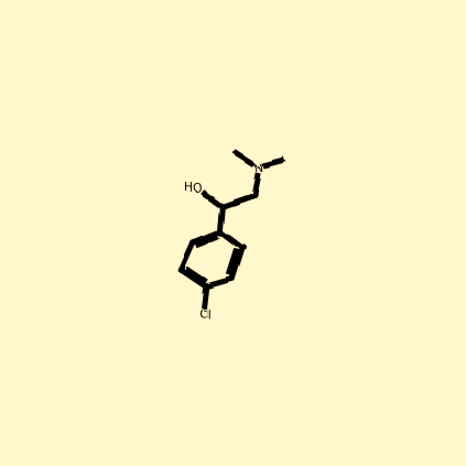 CN(C)CC(O)c1ccc(Cl)cc1